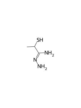 CC(S)C(N)=NN